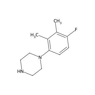 Cc1c(F)ccc(N2CCNCC2)c1C